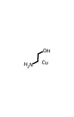 NCCO.[Cu]